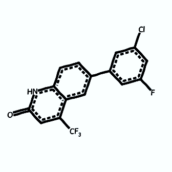 O=c1cc(C(F)(F)F)c2cc(-c3cc(F)cc(Cl)c3)ccc2[nH]1